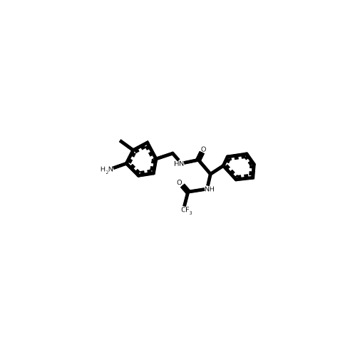 Cc1cc(CNC(=O)C(NC(=O)C(F)(F)F)c2ccccc2)ccc1N